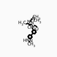 CCc1nc(CN(C)C)nc(N2CCOc3ccc(-c4ccc5[nH]c(C)nc5c4)cc3C2)c1C